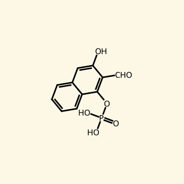 O=Cc1c(O)cc2ccccc2c1OP(=O)(O)O